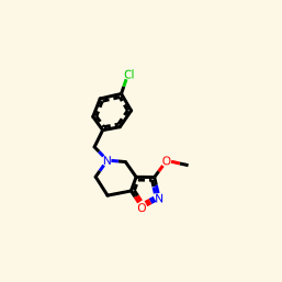 COc1noc2c1CN(Cc1ccc(Cl)cc1)CC2